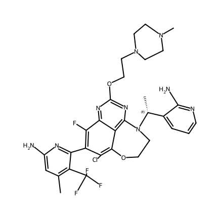 Cc1cc(N)nc(-c2c(Cl)c3c4c(nc(OCCN5CCN(C)CC5)nc4c2F)N([C@H](C)c2cccnc2N)CCO3)c1C(F)(F)F